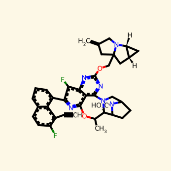 C#Cc1c(F)ccc2cccc(-c3nc4c5c(nc(OCC67CC(=C)CN6[C@@H]6C[C@@H]6C7)nc5c3F)N3CC5CCC(C3C(C)O4)N5C(=O)O)c12